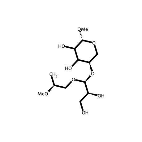 CO[C@@H]1OC[C@@H](O[C@H](OC[C@H](C)OC)[C@@H](O)CO)C(O)C1O